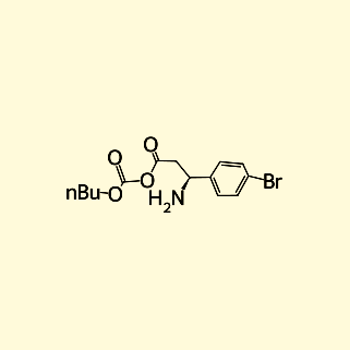 CCCCOC(=O)OC(=O)C[C@H](N)c1ccc(Br)cc1